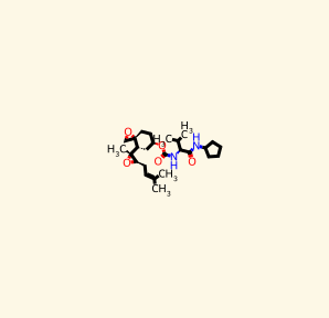 CC(C)=CC[C@H]1O[C@]1(C)[C@H]1C[C@H](OC(=O)N[C@H](C(=O)NC2CCCC2)C(C)C)CC[C@]12CO2